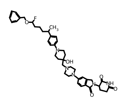 CC(CCCC(F)OCc1ccccc1)c1ccc(N2CCC(O)(CN3CCN(c4ccc5c(c4)CN(C4CCC(=O)NC4=O)C5=O)CC3)CC2)cc1